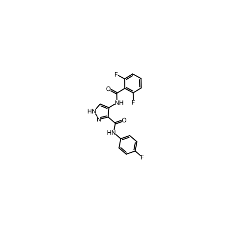 O=C(Nc1ccc(F)cc1)c1n[nH]cc1NC(=O)c1c(F)cccc1F